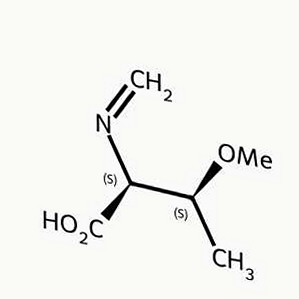 C=N[C@H](C(=O)O)[C@H](C)OC